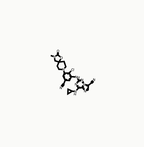 CN1CC2(CCN(c3cc(C#N)cc(Nc4nc(NC5CC5)c5ncc(C#N)n5n4)c3Cl)CC2)OC1=O